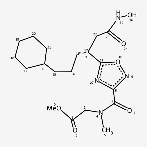 COC(=O)CN(C)C(=O)c1noc([C@H](CCCC2CCCCC2)CC(=O)NO)n1